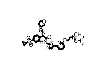 CN(C)CCOc1cccc(-c2cnc(NC(=O)/C(=N/O[C@@H]3CCOC3)c3ccc(S(=O)(=O)C4CC4)cc3)s2)n1